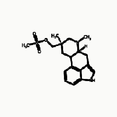 CN1C[C@](C)(COS(C)(=O)=O)CC2c3cccc4[nH]cc(c34)C[C@H]21